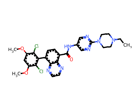 CCN1CCN(c2ncc(NC(=O)c3ccc(-c4c(Cl)c(OC)cc(OC)c4Cl)c4nccnc34)cn2)CC1